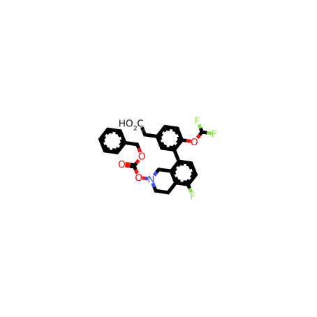 O=C(O)Cc1ccc(OC(F)F)c(-c2ccc(F)c3c2CN(OC(=O)OCc2ccccc2)CC3)c1